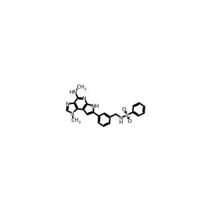 CNc1nc2[nH]c(-c3cccc(CNS(=O)(=O)c4ccccc4)c3)cc2c2c1ncn2C